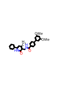 COc1cc(OC)cc(-c2ccc(C(=O)NCc3c(C)cc(-c4ccccc4)[nH]c3=O)cc2)c1